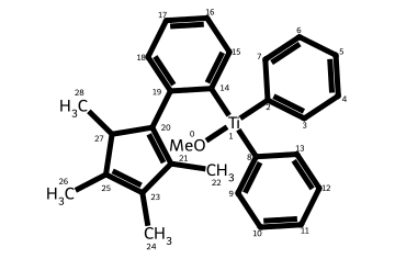 C[O][Ti]([c]1ccccc1)([c]1ccccc1)[c]1ccccc1C1=C(C)C(C)=C(C)C1C